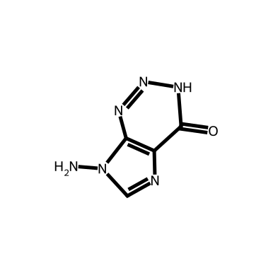 Nn1cnc2c(=O)[nH]nnc21